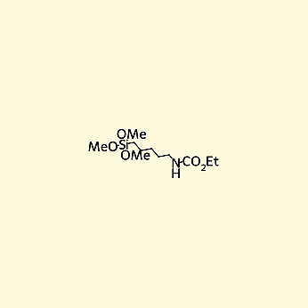 CCOC(=O)NCCCCC[Si](OC)(OC)OC